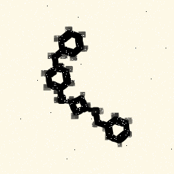 c1ccc(CO[C@H]2C[C@@H](Oc3cc[n+](Cc4ccccc4)cc3)C2)cc1